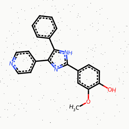 COc1cc(-c2nc(-c3ccncc3)c(-c3ccccc3)[nH]2)ccc1O